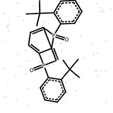 CC(C)(C)c1ccccc1P1(=O)C2=CC=C3C1=C2P3(=O)c1ccccc1C(C)(C)C